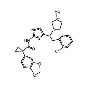 O=C(Nc1ncc(C(Cc2ccccc2Cl)N2CC[C@@H](O)C2)s1)C1(c2ccc3c(c2)OCO3)CC1